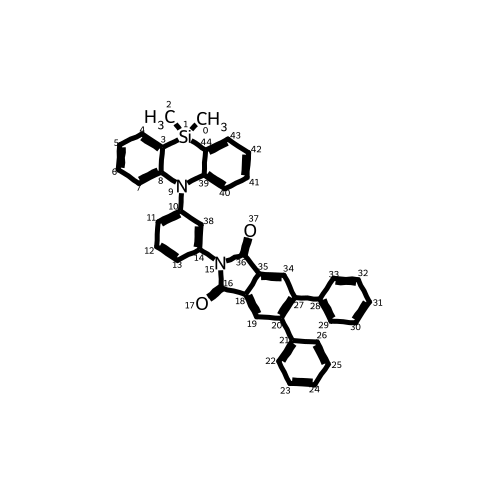 C[Si]1(C)c2ccccc2N(c2cccc(N3C(=O)c4cc(-c5ccccc5)c(-c5ccccc5)cc4C3=O)c2)c2ccccc21